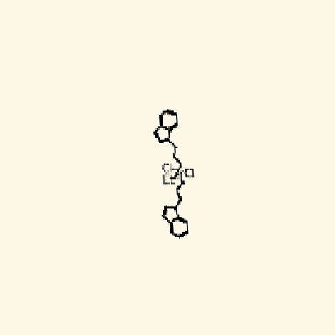 C[CH2][Zr]([Cl])([Cl])([CH2]CCC1C=Cc2ccccc21)[CH2]CCC1C=Cc2ccccc21